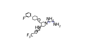 N/C=C\C=C(/N)N1CCC(NSN2CC(C(F)(F)F)C2)C(CO[C@H]2CC[C@@H](c3cccc(F)c3)CC2)C1